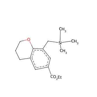 CCOC(=O)c1cc2c(c(C[Si](C)(C)C)c1)OCCC2